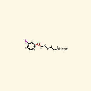 CCCCCCCCCCCCOc1cccc(I)c1